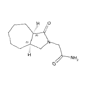 NC(=O)CN1C[C@H]2CCCCC[C@H]2C1=O